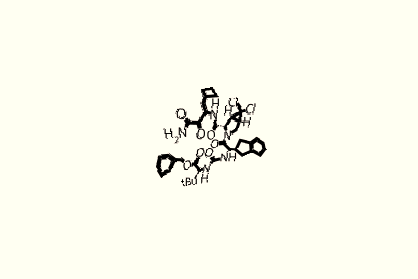 CC(C)(C)[C@H](NC(=O)N[C@H](C(=O)N1C[C@H]2[C@@H]([C@H]1C(=O)NC(CC1CCC1)C(=O)C(N)=O)C2(Cl)Cl)C1Cc2ccccc2C1)C(=O)OCc1ccccc1